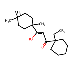 CC1(C)CCC(C)(/C(O)=C/C(=O)C2(CC(F)(F)F)CCCCC2)CC1